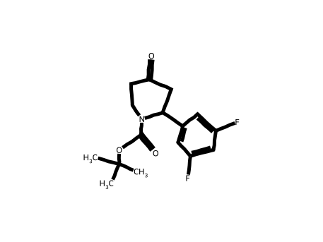 CC(C)(C)OC(=O)N1CCC(=O)CC1c1cc(F)cc(F)c1